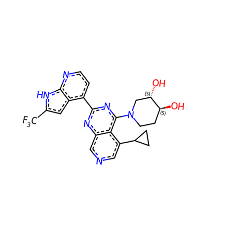 O[C@H]1CCN(c2nc(-c3ccnc4[nH]c(C(F)(F)F)cc34)nc3cncc(C4CC4)c23)C[C@@H]1O